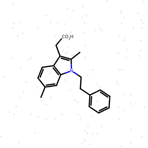 Cc1ccc2c(CC(=O)O)c(C)n(CCc3ccccc3)c2c1